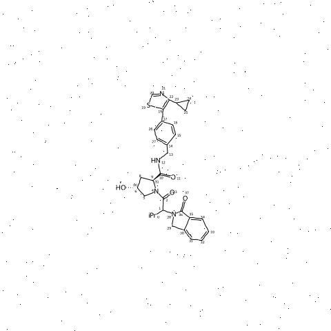 CC(C)C(C(=O)N1C[C@H](O)C[C@H]1C(=O)NCc1ccc(-c2scnc2C2CC2)cc1)N1Cc2ccccc2C1=O